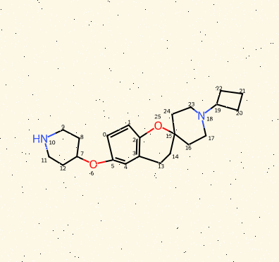 c1cc2c(cc1OC1CCNCC1)CCC1(CCN(C3CCC3)CC1)O2